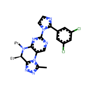 CC[C@@H]1c2nnc(C)n2-c2cnc(-n3ccnc3-c3cc(Cl)cc(Cl)c3)nc2N1C(C)C